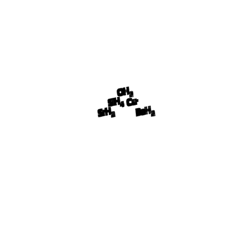 O.[BaH2].[Cu].[SiH4].[SrH2]